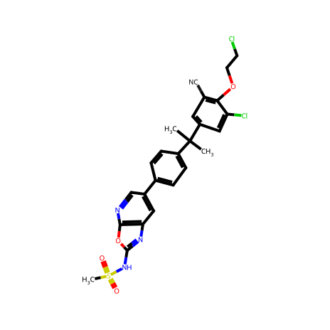 CC(C)(c1ccc(-c2cnc3oc(NS(C)(=O)=O)nc3c2)cc1)c1cc(Cl)c(OCCCl)c(C#N)c1